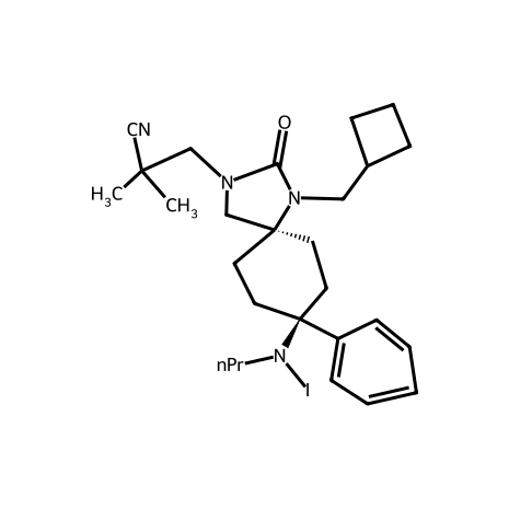 CCCN(I)[C@]1(c2ccccc2)CC[C@]2(CC1)CN(CC(C)(C)C#N)C(=O)N2CC1CCC1